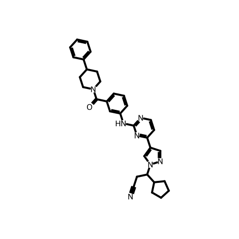 N#CCC(C1CCCC1)n1cc(-c2ccnc(Nc3cccc(C(=O)N4CCC(c5ccccc5)CC4)c3)n2)cn1